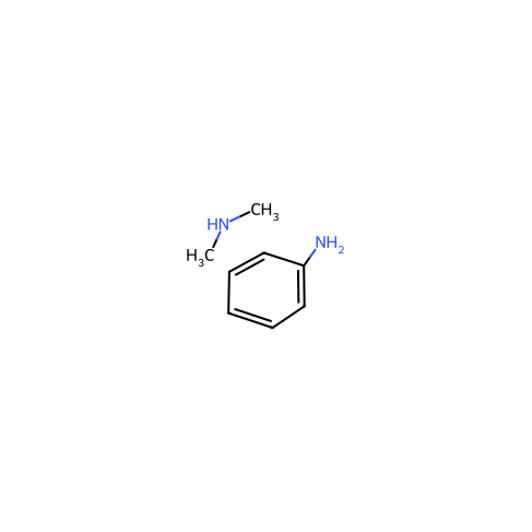 CNC.Nc1ccccc1